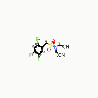 N#CCN(CC#N)S(=O)(=O)Cc1cc(F)c(F)cc1F